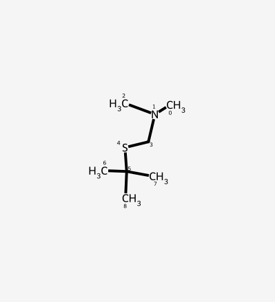 CN(C)CSC(C)(C)C